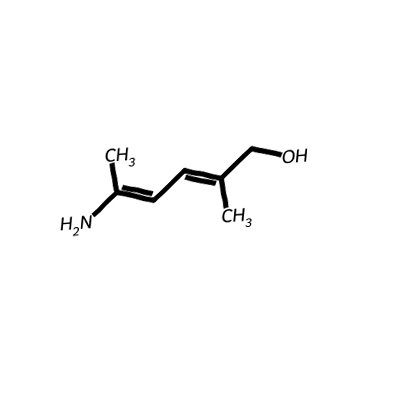 C/C(N)=C\C=C(/C)CO